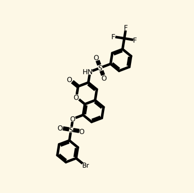 O=c1oc2c(OS(=O)(=O)c3cccc(Br)c3)cccc2cc1NS(=O)(=O)c1cccc(C(F)(F)F)c1